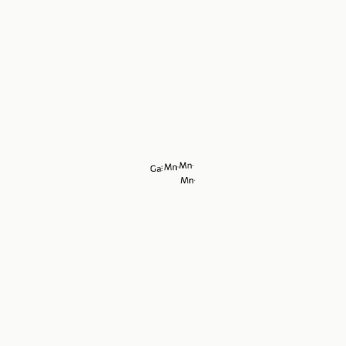 [Ga].[Mn].[Mn].[Mn]